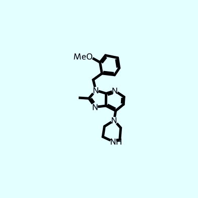 COc1ccccc1Cn1c(C)nc2c(N3CCNCC3)ccnc21